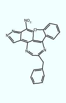 O=[N+]([O-])c1cc2c(-c3ccccc3Cl)nc(Cc3ccccc3)cnc2c2cnnc12